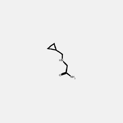 NC(=O)CNCC1CC1